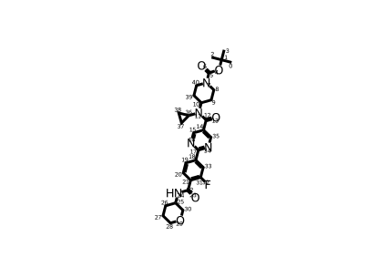 CC(C)(C)OC(=O)N1CCC(N(C(=O)c2cnc(-c3ccc(C(=O)NC4CCCOC4)c(F)c3)nc2)C2CC2)CC1